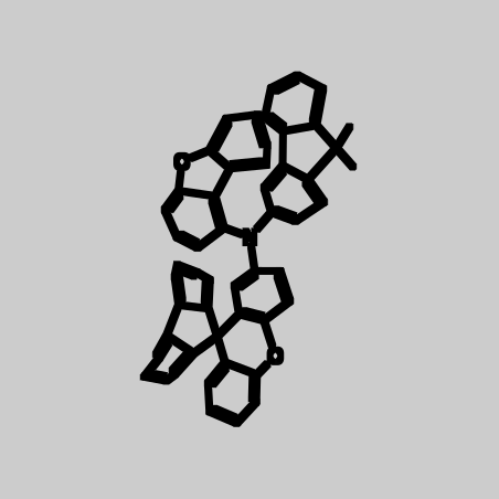 CC1(C)c2ccccc2-c2cc(N(c3ccc4c(c3)C3(c5ccccc5O4)c4ccccc4-c4ccccc43)c3cccc4oc5ccccc5c34)ccc21